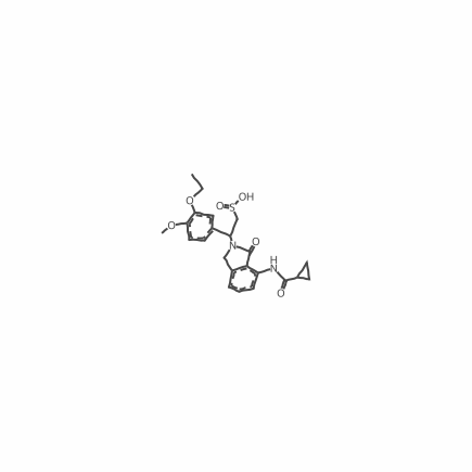 CCOc1cc(C(CS(=O)O)N2Cc3cccc(NC(=O)C4CC4)c3C2=O)ccc1OC